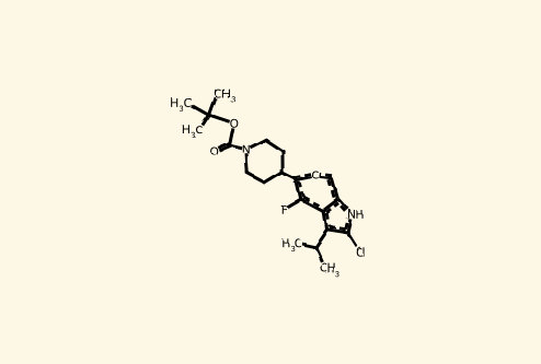 CC(C)c1c(Cl)[nH]c2ccc(C3CCN(C(=O)OC(C)(C)C)CC3)c(F)c12